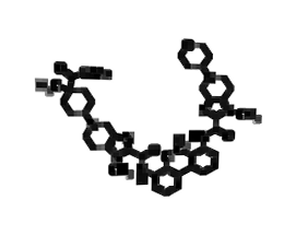 COC(=O)C1(C)CCC(N2CCc3c(nc(C(=O)Nc4cccc(-c5cccc(NC(=O)c6nc7c(n6C)CCN(C6CCOCC6)C7)c5C)c4Cl)n3C)C2)CC1